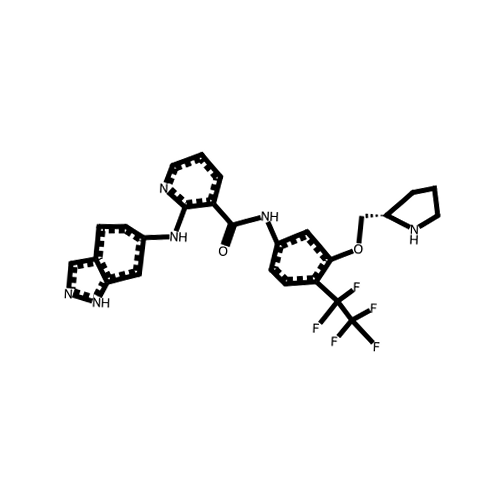 O=C(Nc1ccc(C(F)(F)C(F)(F)F)c(OC[C@@H]2CCCN2)c1)c1cccnc1Nc1ccc2cn[nH]c2c1